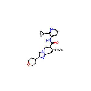 COc1cc2nc(C3CCOCC3)cn2cc1C(=O)Nc1cccnc1C1CC1